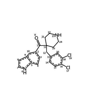 O=C(c1ccc2[nH]ccc2c1)C1(Cc2ccc(Cl)c(Cl)c2)CCNCC1